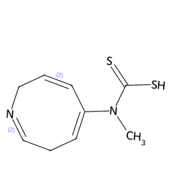 CN(C(=S)S)C1=CC/C=N\C/C=C\1